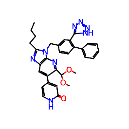 CCCCc1nc2cc(-c3cc[nH]c(=O)c3)c(C(OC)OC)nc2n1Cc1ccc(-c2ccccc2)c(-c2nnn[nH]2)c1